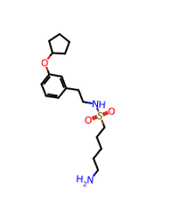 NCCCCCS(=O)(=O)NCCc1cccc(OC2CCCC2)c1